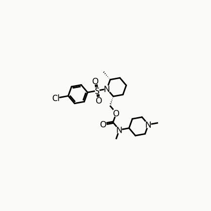 C[C@@H]1CCC[C@H](COC(=O)N(C)C2CCN(C)CC2)N1S(=O)(=O)c1ccc(Cl)cc1